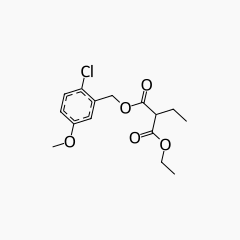 CCOC(=O)C(CC)C(=O)OCc1cc(OC)ccc1Cl